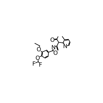 CCOc1cc(-c2nc(C(C(C)=O)c3ncccc3C)co2)ccc1OC(F)F